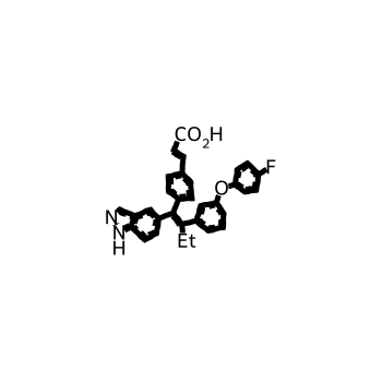 CC/C(=C(/c1ccc(/C=C/C(=O)O)cc1)c1ccc2[nH]ncc2c1)c1cccc(Oc2ccc(F)cc2)c1